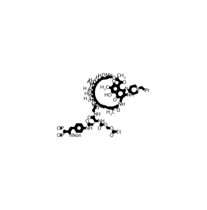 CCCCCCCCC/C(=C\c1ccc(NC(=O)C[C@@H](NC(=O)OCOC(=O)CC)C(=O)NCC(=O)O[C@@H]2[C@@H](C)[C@@H](O)[C@@H](C)[C@H](OC(C)=O)[C@H](C)[C@@H](OC)/C=C/O[C@@]3(C)Oc4c(C)c(O)c5c(c4C3=O)C3=NC4(CCN(CC(C)C)CC4)NC3=C(NC(=O)/C(C)=C\C=C\[C@@H]2C)C5=O)cc1)C(P=O)P=O